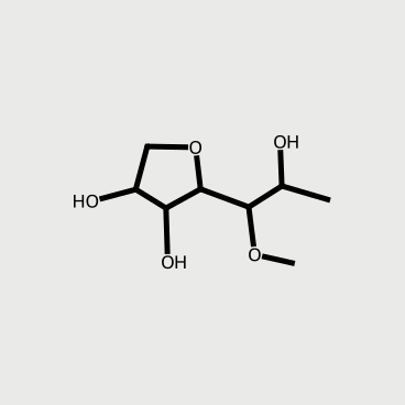 COC(C(C)O)C1OCC(O)C1O